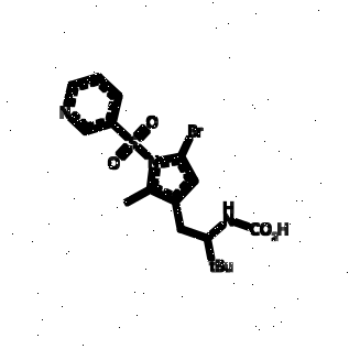 Cc1c(CC(NC(=O)O)C(C)(C)C)cc(Br)n1S(=O)(=O)c1cccnc1